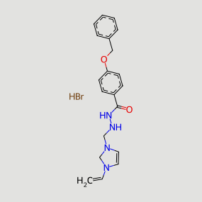 Br.C=CN1C=CN(CNNC(=O)c2ccc(OCc3ccccc3)cc2)C1